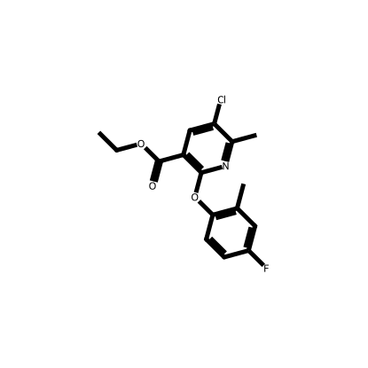 CCOC(=O)c1cc(Cl)c(C)nc1Oc1ccc(F)cc1C